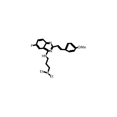 CCN(CC)CCCNc1nc(C=Cc2ccc(OC)cc2)nc2ccc(F)cc12